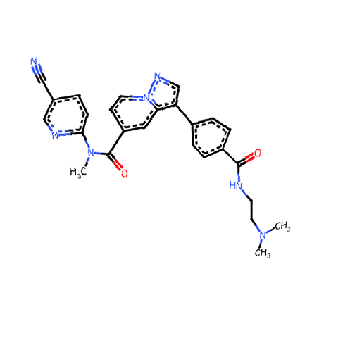 CN(C)CCNC(=O)c1ccc(-c2cnn3ccc(C(=O)N(C)c4ccc(C#N)cn4)cc23)cc1